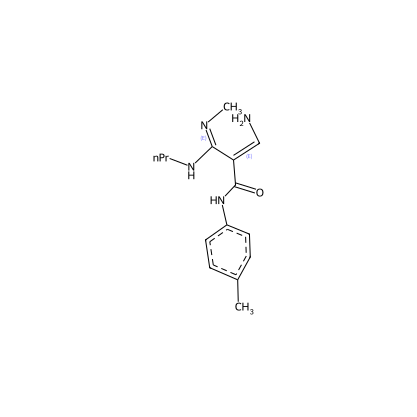 CCCNC(=N/C)/C(=C\N)C(=O)Nc1ccc(C)cc1